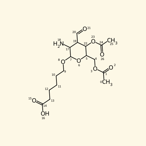 CC(=O)OCC1OC(OCCCCCC(=O)O)C(N)C(C=O)C1OC(C)=O